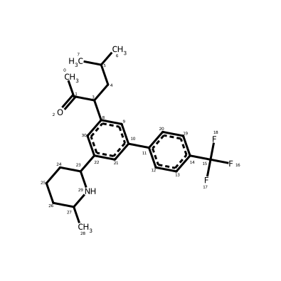 CC(=O)C(CC(C)C)c1cc(-c2ccc(C(F)(F)F)cc2)cc(C2CCCC(C)N2)c1